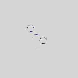 Cc1cc(Cl)c(SCC(F)(F)F)cc1/N=C(\N)c1cnccn1